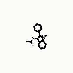 Cn1c(-c2ccccc2)c(SC(F)F)c2ccccc21